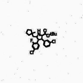 CC1(CC2NC(C(=O)OC(C)(C)C)C(c3cccc(Cl)c3)C2c2ccc(Cl)cc2F)CCCC1